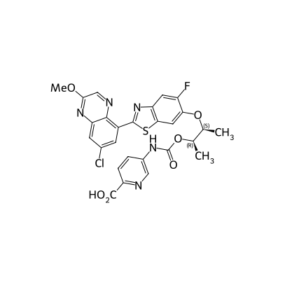 COc1cnc2c(-c3nc4cc(F)c(O[C@@H](C)[C@@H](C)OC(=O)Nc5ccc(C(=O)O)nc5)cc4s3)cc(Cl)cc2n1